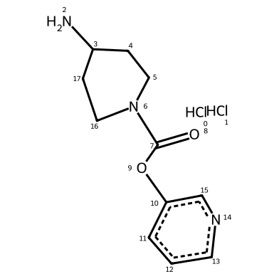 Cl.Cl.NC1CCN(C(=O)Oc2cccnc2)CC1